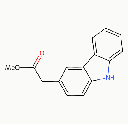 COC(=O)Cc1ccc2[nH]c3ccccc3c2c1